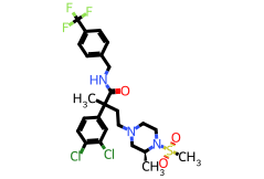 C[C@H]1CN(CCC(C)(C(=O)NCc2ccc(C(F)(F)F)cc2)c2ccc(Cl)c(Cl)c2)CCN1S(C)(=O)=O